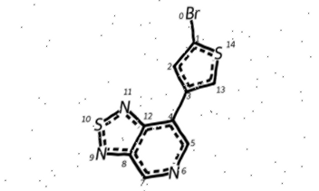 Brc1cc(-c2cncc3nsnc23)cs1